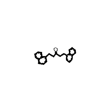 O=C(CCc1cccc2ccccc12)CCc1cccc2ccccc12